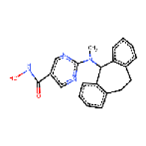 CN(c1ncc(C(=O)NO)cn1)C1c2ccccc2CCc2ccccc21